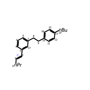 CCC/C=C/c1cccc(CCc2ccc(CCCC)cc2)c1